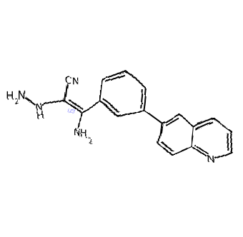 N#C/C(NN)=C(/N)c1cccc(-c2ccc3ncccc3c2)c1